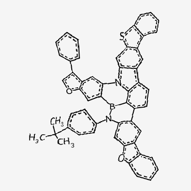 CC(C)(C)c1ccc(N2B3c4cc5occ(-c6ccccc6)c5cc4-n4c5cc6sc7ccccc7c6cc5c5ccc(c3c54)-c3cc4c(cc32)oc2ccccc24)cc1